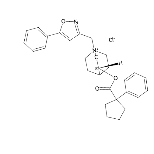 O=C(O[C@H]1C[N+]2(Cc3cc(-c4ccccc4)on3)CCC1CC2)C1(c2ccccc2)CCCC1.[Cl-]